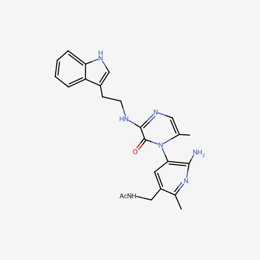 CC(=O)NCc1cc(-n2c(C)cnc(NCCc3c[nH]c4ccccc34)c2=O)c(N)nc1C